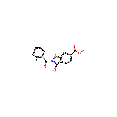 COC(=O)c1ccc2c(=O)n(C(=O)c3ccccc3F)sc2c1